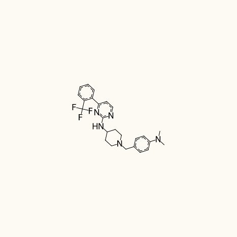 CN(C)c1ccc(CN2CCC(Nc3nccc(-c4ccccc4C(F)(F)F)n3)CC2)cc1